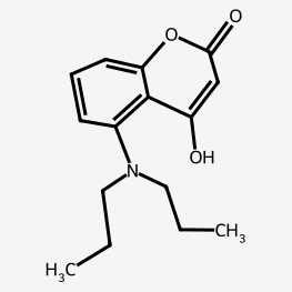 CCCN(CCC)c1cccc2oc(=O)cc(O)c12